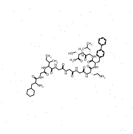 CCC(C)C(NC(=O)CNC(=O)C(N)CC1CCCCC1)C(=O)NCC(=O)NCC(=O)NCC(=O)N[C@@H](CCN)C(=O)N[C@H](Cc1ccc(-c2ccccc2)cc1)C(=O)N[C@@H](CC(C)C)C(=O)N[C@@H](CO)C(N)=O